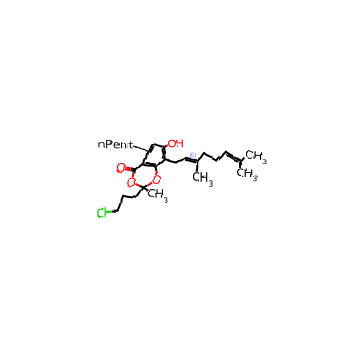 CCCCCc1cc(O)c(C/C=C(\C)CCC=C(C)C)c2c1C(=O)OC(C)(CCCCl)O2